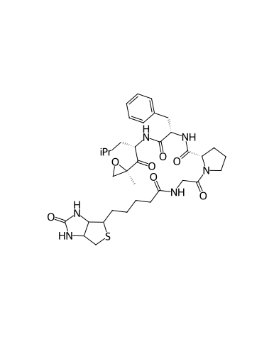 CC(C)C[C@H](NC(=O)[C@H](Cc1ccccc1)NC(=O)[C@@H]1CCCN1C(=O)CNC(=O)CCCCC1SCC2NC(=O)NC21)C(=O)[C@@]1(C)CO1